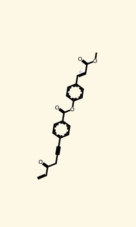 C=CC(=O)CC#Cc1ccc(C(=O)Oc2ccc(/C=C/C(=O)OC)cc2)cc1